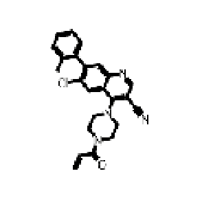 C=CC(=O)N1CCN(c2c(C#N)cnc3cc(-c4ccccc4C)c(Cl)cc23)CC1